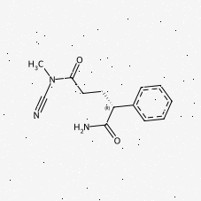 CN(C#N)C(=O)[CH]C[C@@H](C(N)=O)c1ccccc1